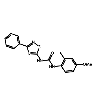 COc1ccc(NC(=O)Nc2nc(-c3ccccc3)ns2)c(C)c1